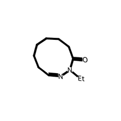 CCN1/N=C\CCCCCCC1=O